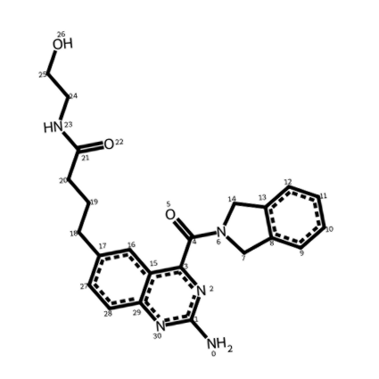 Nc1nc(C(=O)N2Cc3ccccc3C2)c2cc(CCCC(=O)NCCO)ccc2n1